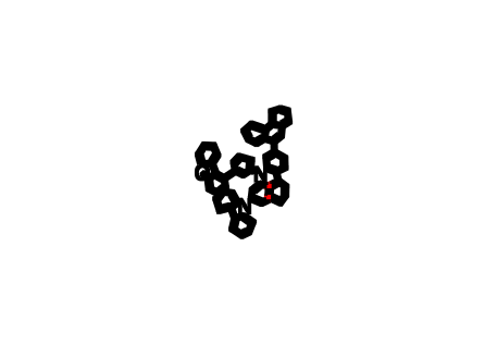 c1ccc(-c2ccc(-c3cc4ccccc4c4ccccc34)cc2N(c2cccc(-c3cccc4oc5ccccc5c34)c2)c2cccc(-n3c4ccccc4c4ccccc43)c2)cc1